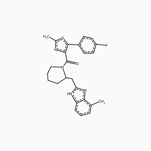 Cc1nc(C(=O)N2CCCCC2Cc2nc3c(C)cccc3[nH]2)c(-c2ccc(F)cc2)s1